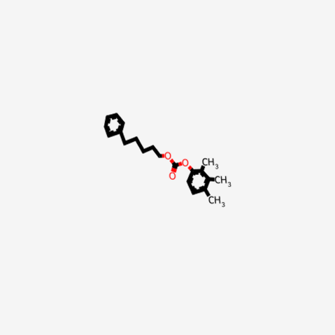 Cc1ccc(OC(=O)OCCCCCc2ccccc2)c(C)c1C